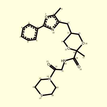 Cc1oc(-c2ccccc2)nc1CC1COC(C)(C(=O)NCC(=O)N2CCSCC2)OC1